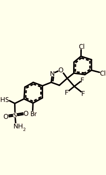 NS(=O)(=O)C(S)c1ccc(C2=NOC(c3cc(Cl)cc(Cl)c3)(C(F)(F)F)C2)cc1Br